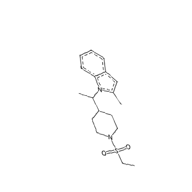 CCS(=O)(=O)N1CCC(C(C)n2c(C)cc3ccccc32)CC1